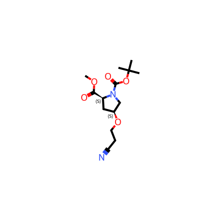 COC(=O)[C@@H]1C[C@H](OCCC#N)CN1C(=O)OC(C)(C)C